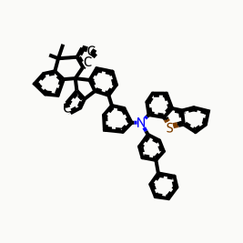 CC1(C)c2ccccc2C2(c3ccccc3-c3c(-c4cccc(N(c5ccc(-c6ccccc6)cc5)c5cccc6c5sc5ccccc56)c4)cccc32)c2ccccc21